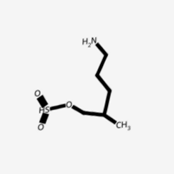 CC(CCCN)CO[SH](=O)=O